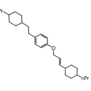 CCCC1CCC(/C=C/COc2ccc(CCC3CCC(CCC)CC3)cc2)CC1